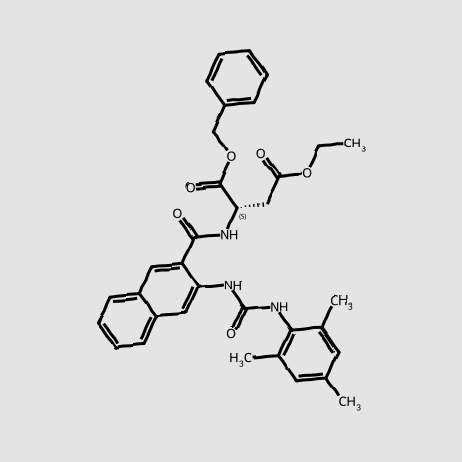 CCOC(=O)C[C@H](NC(=O)c1cc2ccccc2cc1NC(=O)Nc1c(C)cc(C)cc1C)C(=O)OCc1ccccc1